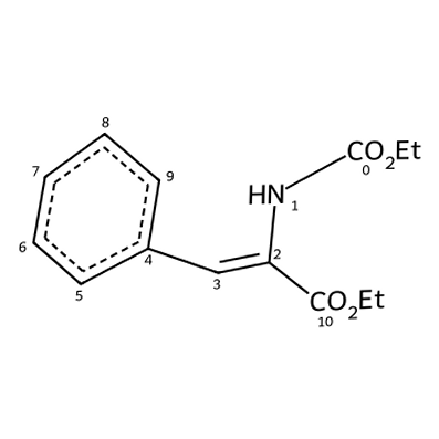 CCOC(=O)N/C(=C\c1ccccc1)C(=O)OCC